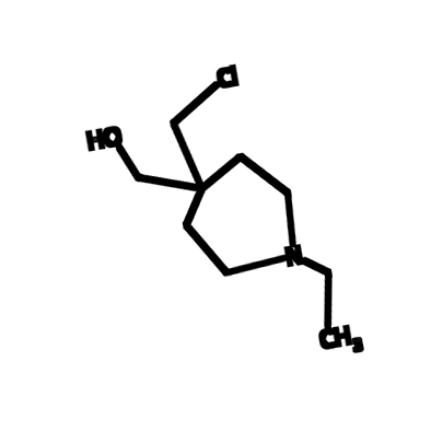 CCN1CCC(CO)(CCl)CC1